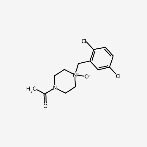 CC(=O)N1CC[N+]([O-])(Cc2cc(Cl)ccc2Cl)CC1